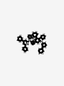 c1ccc(-c2cccc(-n3c4ccccc4c4c5c(ccc43)[Si]3(c4ccccc4-5)c4ccccc4N(c4cc(-c5ccccc5)cc(-c5ccccc5)n4)c4ccccc43)c2)cc1